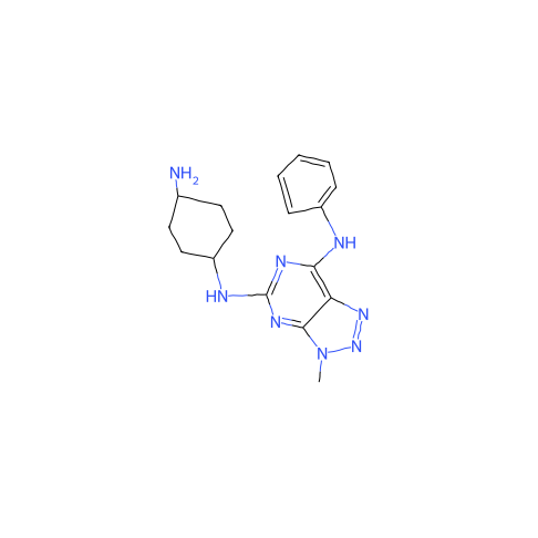 Cn1nnc2c(Nc3ccccc3)nc(NC3CCC(N)CC3)nc21